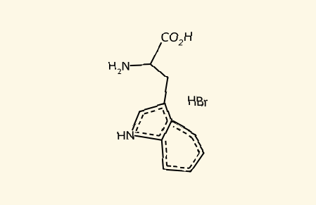 Br.NC(Cc1c[nH]c2ccccc12)C(=O)O